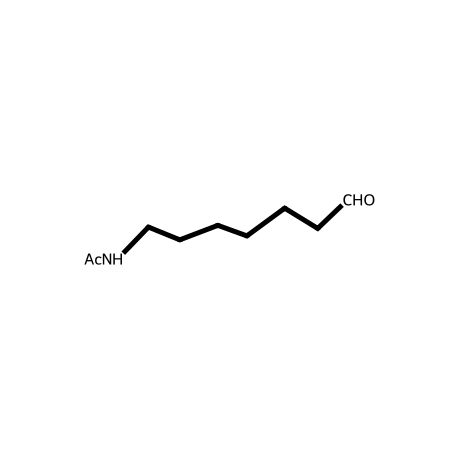 CC(=O)NCCCCCCC=O